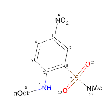 CCCCCCCCNc1ccc([N+](=O)[O-])cc1S(=O)(=O)NC